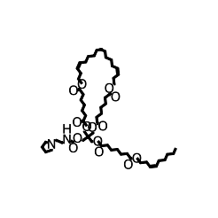 CCCCC/C=C\CCOC(=O)CCCCCC(=O)OCC(COC(=O)CCCCCC(=O)OCC/C=C\CCCCC)(COC(=O)CCCCCC(=O)OCC/C=C\CCCCC)COC(=O)NCCN1CCCC1